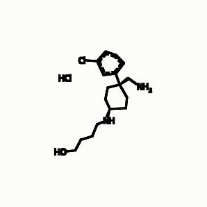 Cl.NC[C@]1(c2cccc(Cl)c2)CC[C@H](NCCCCO)CC1